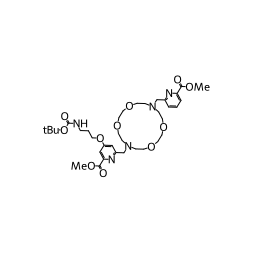 COC(=O)c1cccc(CN2CCOCCOCCN(Cc3cc(OCCCNC(=O)OC(C)(C)C)cc(C(=O)OC)n3)CCOCCOCC2)n1